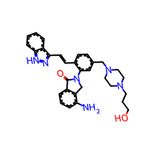 Nc1cccc2c1CN(c1cc(CN3CCN(CCCO)CC3)ccc1C=Cc1n[nH]c3ccccc13)C2=O